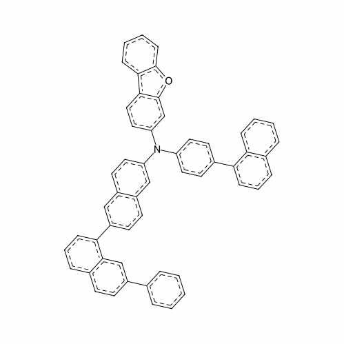 c1ccc(-c2ccc3cccc(-c4ccc5cc(N(c6ccc(-c7cccc8ccccc78)cc6)c6ccc7c(c6)oc6ccccc67)ccc5c4)c3c2)cc1